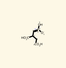 O=C(O)CC(/C=[P+](\[O-])O)C(=O)O